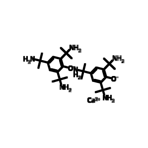 CC(C)(N)c1cc(C(C)(C)N)c([O-])c(C(C)(C)N)c1.CC(C)(N)c1cc(C(C)(C)N)c([O-])c(C(C)(C)N)c1.[Ca+2]